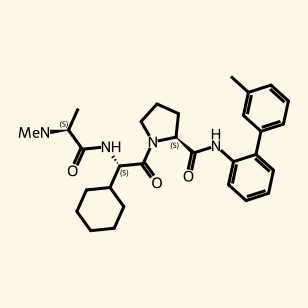 CN[C@@H](C)C(=O)N[C@H](C(=O)N1CCC[C@H]1C(=O)Nc1ccccc1-c1cccc(C)c1)C1CCCCC1